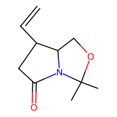 C=CC1CC(=O)N2C1COC2(C)C